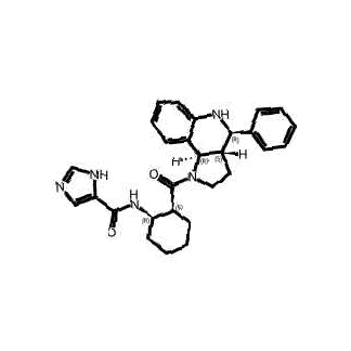 O=C(N[C@@H]1CCCC[C@@H]1C(=O)N1CC[C@H]2[C@H](c3ccccc3)Nc3ccccc3[C@@H]21)c1cnc[nH]1